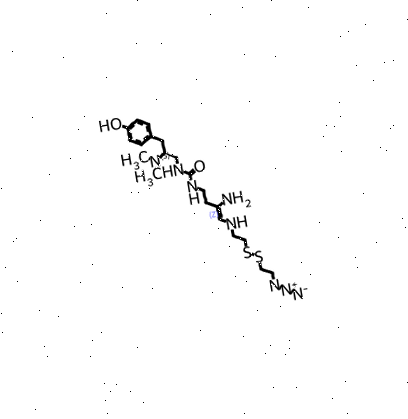 CN(C)[C@H](CNC(=O)NCC/C(N)=C/NCCSSCCN=[N+]=[N-])Cc1ccc(O)cc1